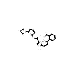 O=C(Nc1cccc(N2CCC2)n1)C1=CNC2C=CC(c3ccccc3C(F)F)NN12